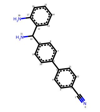 N#Cc1ccc(-c2ccc(C(N)c3ccccc3N)cc2)cc1